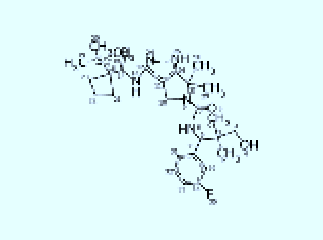 CC(C)(CO)C(NC(=O)N1Cc2c(NC(=O)C3(S(C)(C)C)CCC3)n[nH]c2C1(C)C)c1cccc(F)c1